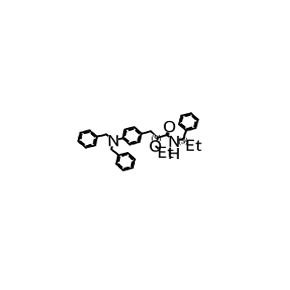 CCO[C@@H](Cc1ccc(N(Cc2ccccc2)Cc2ccccc2)cc1)C(=O)N[C@@H](CC)c1ccccc1